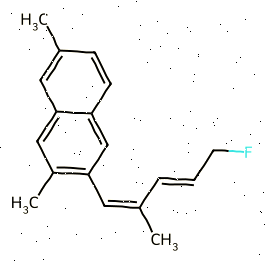 CC(=C/c1cc2ccc(C)cc2cc1C)/C=C/CF